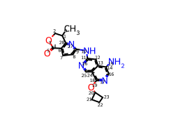 CC1COC(=O)c2ccc(Nc3cc4c(N)cnc(OC5CCC5)c4cn3)nc21